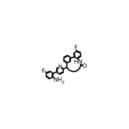 Nc1ccc(F)cc1-c1ccc(C2CCCCC(=O)Nc3ccc(F)cc3-c3cccc2c3)nc1